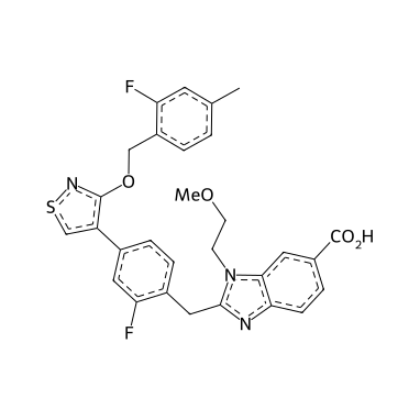 COCCn1c(Cc2ccc(-c3csnc3OCc3ccc(C)cc3F)cc2F)nc2ccc(C(=O)O)cc21